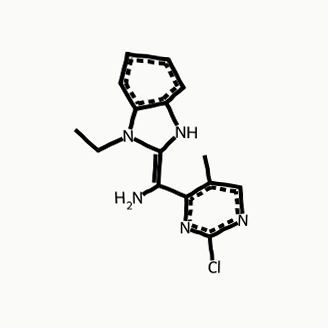 CCN1/C(=C(\N)c2nc(Cl)ncc2C)Nc2ccccc21